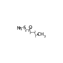 CCCCC(=O)CSC#N